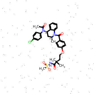 CC(=O)N(c1ccc(Cl)cc1)[C@@H]1C[C@H](C)N(C(=O)c2ccc(OCCC(C)(C)C(=O)NS(C)(=O)=O)cc2)c2ccccc21